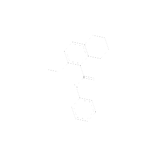 COc1ccc2c(c1C(=O)Nc1ccccc1)CCCC2